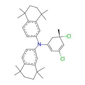 CC1(C)CCC(C)(C)c2cc(N(C3=CC(Cl)=C[C@@](C)(Cl)C3)c3ccc4c(c3)C(C)(C)CCC4(C)C)ccc21